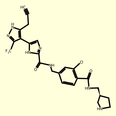 C#CCc1[nH]nc(C(F)(F)F)c1-c1cnc(C(=O)NCc2ccc(C(=O)NC[C@H]3CCNC3)c(Cl)c2)[nH]1